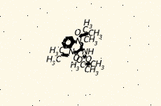 CC(C)CN1C(=O)C(NC(=O)OC(C)(C)C)CN(C(=O)C(C)(C)C)c2ccccc21